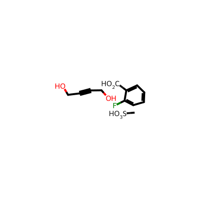 CS(=O)(=O)O.O=C(O)c1ccccc1F.OCC#CCO